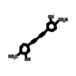 O=C(O)c1ccc(C#CC#Cc2ccc(C(=O)O)c(O)c2)cc1O